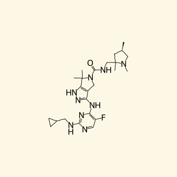 C[C@H]1CN(C)C(C)(CNC(=O)N2Cc3c(Nc4nc(NCC5CC5)ncc4F)n[nH]c3C2(C)C)C1